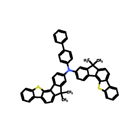 CC1(C)c2cc(N(c3ccc(-c4ccccc4)cc3)c3ccc4c(c3)C(C)(C)c3ccc5c(sc6ccccc65)c3-4)ccc2-c2c1ccc1c2sc2ccccc21